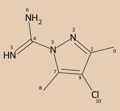 Cc1nn(C(=N)N)c(C)c1Cl